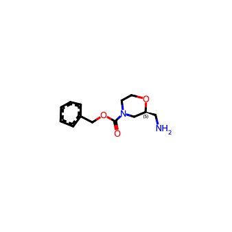 NC[C@H]1CN(C(=O)OCc2ccccc2)CCO1